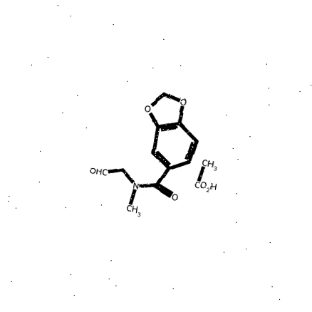 CC(=O)O.CN(CC=O)C(=O)c1ccc2c(c1)OCO2